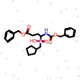 O=C(CCC(NC(=O)OCc1ccccc1)P(=O)(O)CC1CCCC1)OCc1ccccc1